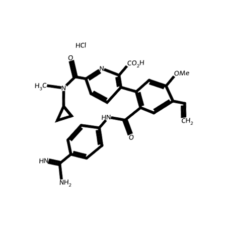 C=Cc1cc(C(=O)Nc2ccc(C(=N)N)cc2)c(-c2ccc(C(=O)N(C)C3CC3)nc2C(=O)O)cc1OC.Cl